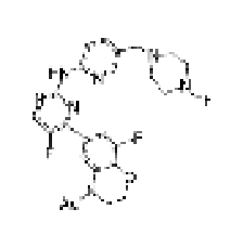 CCN1CCN(Cc2ccc(Nc3ncc(F)c(-c4cc(F)c5c(c4)N(C(C)=O)CCO5)n3)nc2)CC1